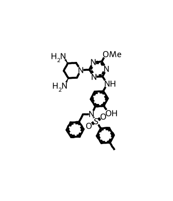 COc1nc(Nc2ccc(N(Cc3ccccc3)S(=O)(=O)c3ccc(C)cc3)c(O)c2)nc(N2C[C@H](N)C[C@H](N)C2)n1